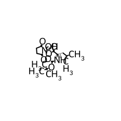 CC(C)C[C@H](NC(=O)OC(C)(C)C)C(=O)O[N+]1(O)C(=O)CCC1=O